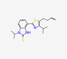 C=CCCc1sc(-c2cccc3c2[nH]c(=S)n3C(C)C)nc1C(C)C